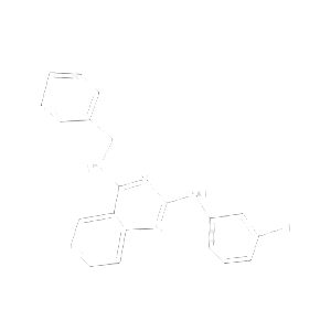 Clc1cccc(Nc2nc(NCc3ccccc3)c3ccccc3n2)c1